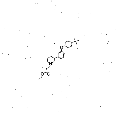 CCOC(=O)CCN1CCCC(c2cccc(O[C@H]3CC[C@H](C(C)(C)C)CC3)c2)C1